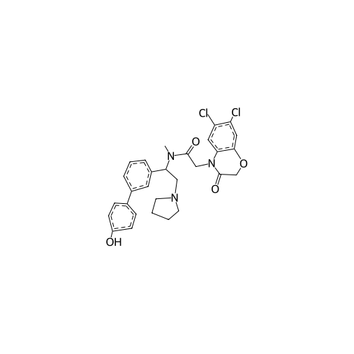 CN(C(=O)CN1C(=O)COc2cc(Cl)c(Cl)cc21)C(CN1CCCC1)c1cccc(-c2ccc(O)cc2)c1